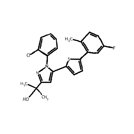 Cc1ccc(F)cc1-c1ccc(-c2cc(C(C)(C)O)nn2-c2ccccc2Cl)s1